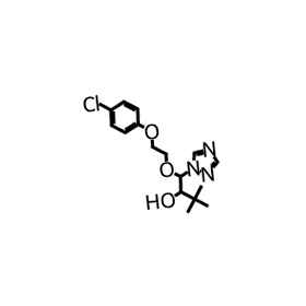 CC(C)(C)C(O)C(OCCOc1ccc(Cl)cc1)n1cncn1